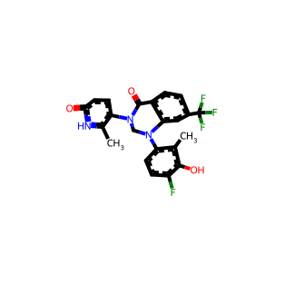 Cc1[nH]c(=O)ccc1N1CN(c2ccc(F)c(O)c2C)c2cc(C(F)(F)F)ccc2C1=O